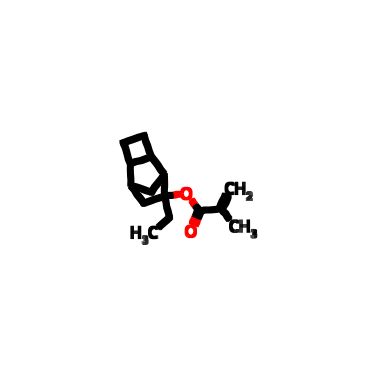 C=C(C)C(=O)OC1(CC)CC2CC1C1CCC21